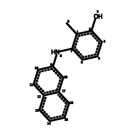 Cc1c(O)cccc1Nc1ccc2ccccc2c1